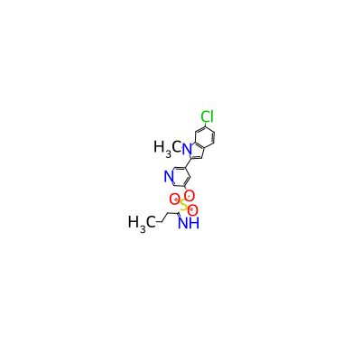 CCCC(=N)S(=O)(=O)Oc1cncc(-c2cc3ccc(Cl)cc3n2C)c1